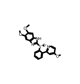 COc1ccnc(-c2ccccc2[S+]([O-])c2nc3cc(OC)c(OC)cc3[nH]2)c1